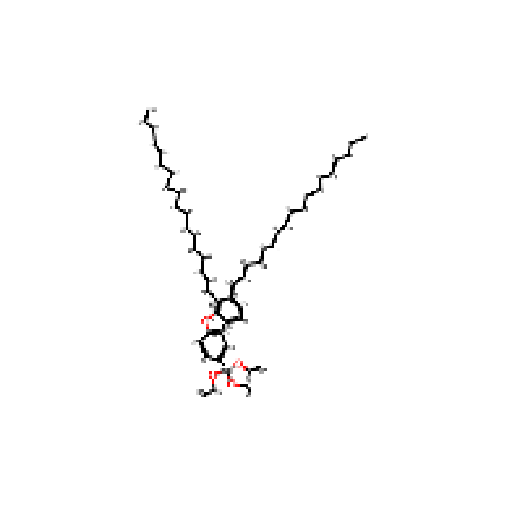 CCCCCCCCCCCCCCCCCCc1ccc2c(oc3ccc([Si](OCC)(OCC)OCC)cc32)c1CCCCCCCCCCCCCCCCCC